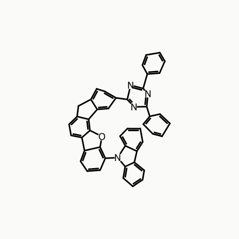 c1ccc(-c2nc(-c3ccccc3)nc(-c3ccc4c(c3)-c3c(ccc5c3oc3c(-n6c7ccccc7c7ccccc76)cccc35)C4)n2)cc1